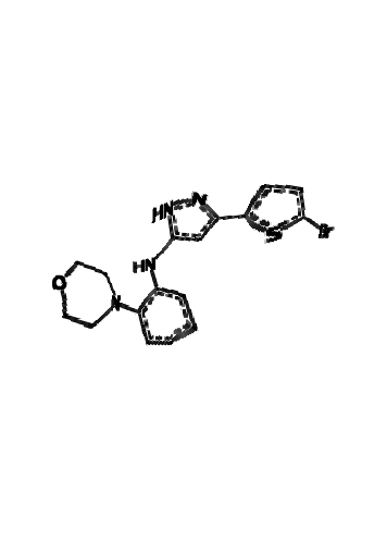 Brc1ccc(-c2cc(Nc3ccccc3N3CCOCC3)[nH]n2)s1